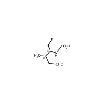 C[C@@H](CC=O)[C@@H](CF)NC(=O)O